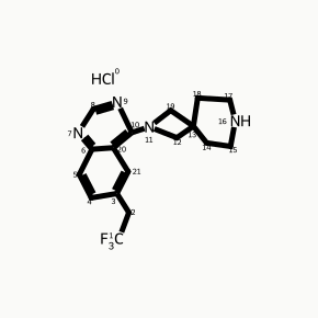 Cl.FC(F)(F)Cc1ccc2ncnc(N3CC4(CCNCC4)C3)c2c1